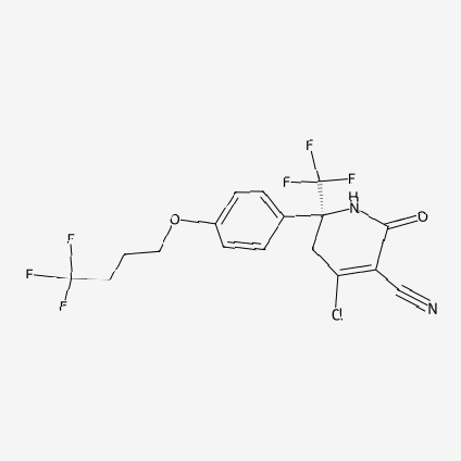 N#CC1=C(Cl)C[C@](c2ccc(OCCCC(F)(F)F)cc2)(C(F)(F)F)NC1=O